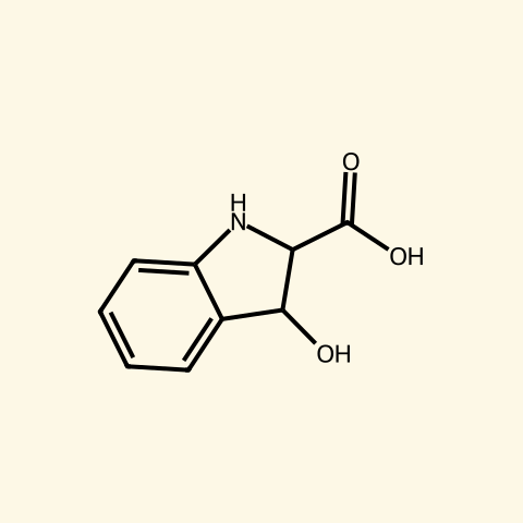 O=C(O)C1Nc2ccccc2C1O